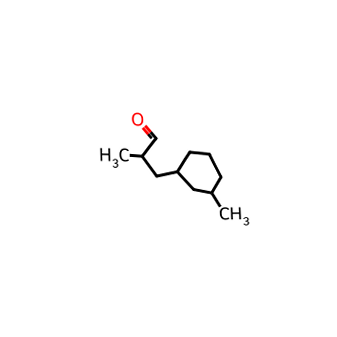 CC(C=O)CC1CCCC(C)C1